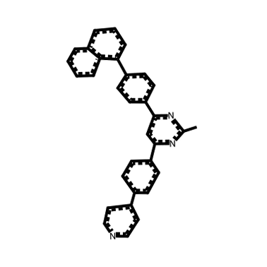 Cc1nc(-c2ccc(-c3ccncc3)cc2)cc(-c2ccc(-c3cccc4ccccc34)cc2)n1